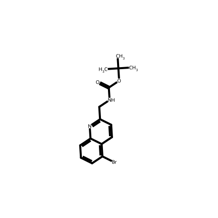 CC(C)(C)OC(=O)NCc1ccc2c(Br)cccc2n1